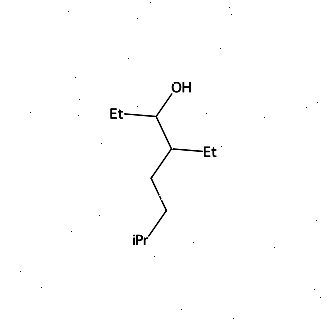 CCC(O)C(CC)CCC(C)C